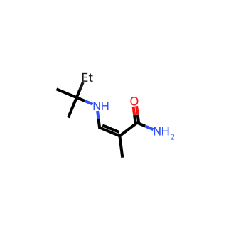 CCC(C)(C)NC=C(C)C(N)=O